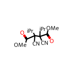 COC(=O)C(C#N)(C(C)C)C(C#N)(C(=O)OC)C(C)C